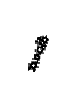 CC1(Cl)C=CC=CC1S(=O)(=O)C1CCN(c2nc(Cc3ccc(F)c(F)c3)cs2)CC1